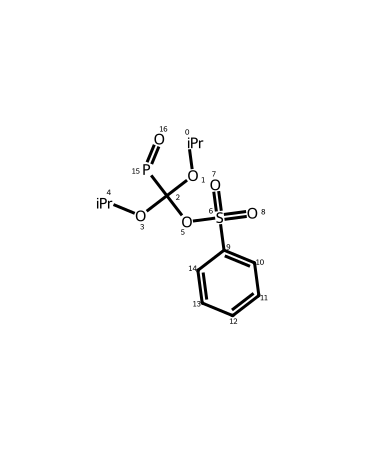 CC(C)OC(OC(C)C)(OS(=O)(=O)c1ccccc1)P=O